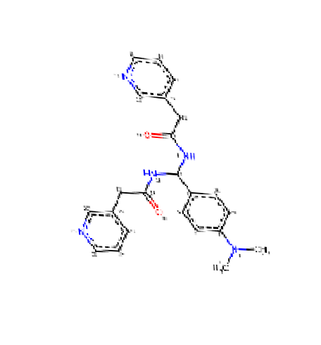 CN(C)c1ccc(C(NC(=O)Cc2cccnc2)NC(=O)Cc2cccnc2)cc1